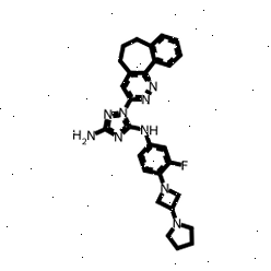 Nc1nc(Nc2ccc(N3CC(N4CCCC4)C3)c(F)c2)n(-c2cc3c(nn2)-c2ccccc2CCC3)n1